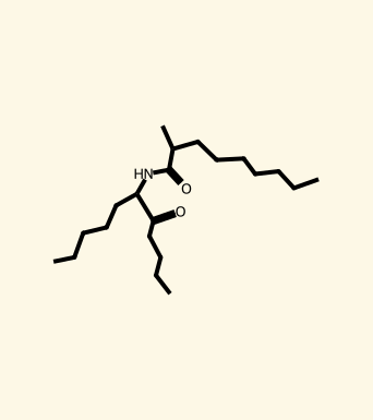 CCCCCCCC(C)C(=O)NC(CCCCC)C(=O)CCCC